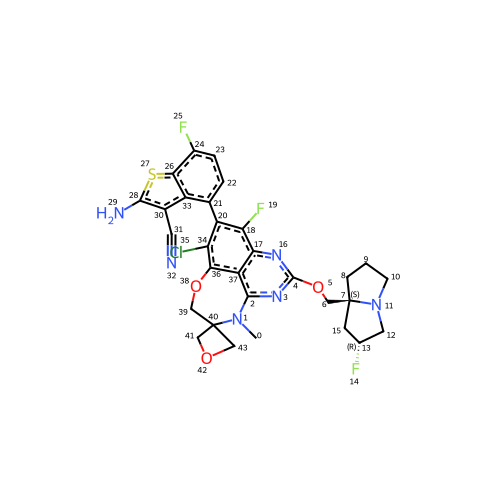 CN1c2nc(OC[C@@]34CCCN3C[C@H](F)C4)nc3c(F)c(-c4ccc(F)c5sc(N)c(C#N)c45)c(Cl)c(c23)OCC12COC2